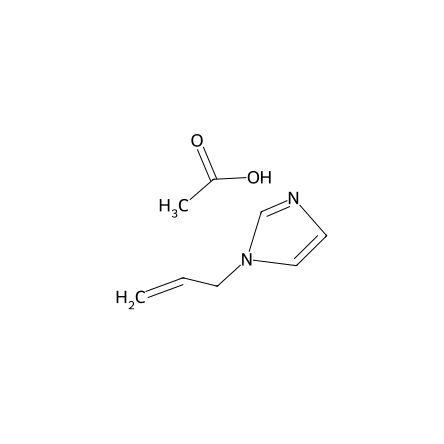 C=CCn1ccnc1.CC(=O)O